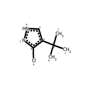 CC(C)(C)c1c[nH]nc1Cl